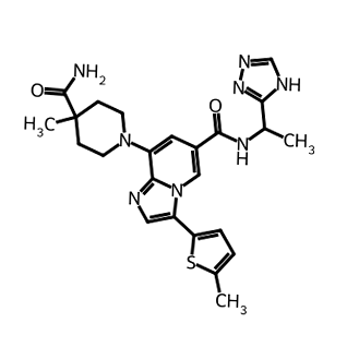 Cc1ccc(-c2cnc3c(N4CCC(C)(C(N)=O)CC4)cc(C(=O)NC(C)c4nnc[nH]4)cn23)s1